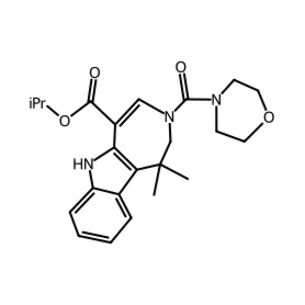 CC(C)OC(=O)C1=CN(C(=O)N2CCOCC2)CC(C)(C)c2c1[nH]c1ccccc21